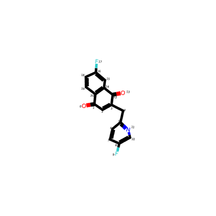 O=C1C=C(Cc2ccc(F)cn2)C(=O)c2cc(F)ccc21